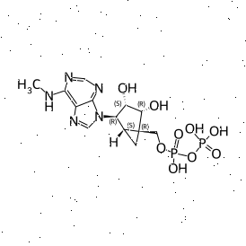 CNc1ncnc2c1ncn2[C@H]1[C@H](O)[C@H](O)[C@]2(COP(=O)(O)OP(=O)(O)O)C[C@H]12